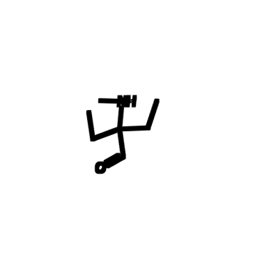 CCC(C=O)(CC)NC